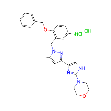 Cc1cc(-c2c[nH]c(N3CCOCC3)n2)nn1Cc1cc(Cl)ccc1OCc1ccccc1.Cl.Cl